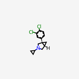 Clc1ccc([C@@]23C[C@@H]2CN(C2CC2)C3)cc1Cl